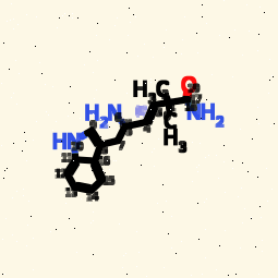 CC(C)(/C=C/[C@H](N)Cc1c[nH]c2ccccc12)C(N)=O